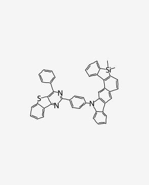 C[Si]1(C)c2ccccc2-c2c1ccc1cc3c4ccccc4n(-c4ccc(-c5nc(-c6ccccc6)c6sc7ccccc7c6n5)cc4)c3cc21